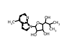 Cc1ccnc2c1ccn2C1OC(C(O)C(C)C)C(O)C1O